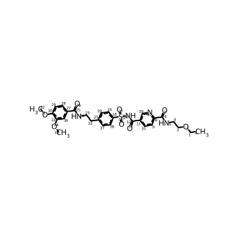 CCOCCNC(=O)c1ccc(C(=O)NS(=O)(=O)c2ccc(CCNC(=O)c3ccc(OC)c(OC)c3)cc2)cn1